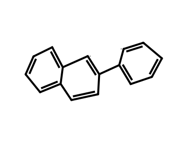 [c]1ccccc1-c1[c]c2ccccc2cc1